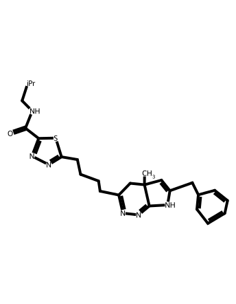 CC(C)CNC(=O)c1nnc(CCCCC2=NN=C3NC(Cc4ccccc4)=CC3(C)C2)s1